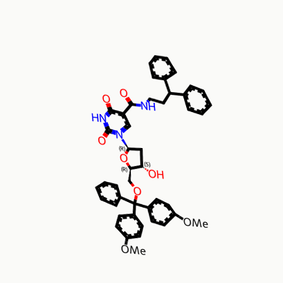 COc1ccc(C(OC[C@H]2O[C@@H](n3cc(C(=O)NCCC(c4ccccc4)c4ccccc4)c(=O)[nH]c3=O)C[C@@H]2O)(c2ccccc2)c2ccc(OC)cc2)cc1